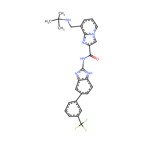 CC(C)(C)NCc1cccn2cc(C(=O)Nc3nc4cc(-c5cccc(C(F)(F)F)c5)ccc4[nH]3)nc12